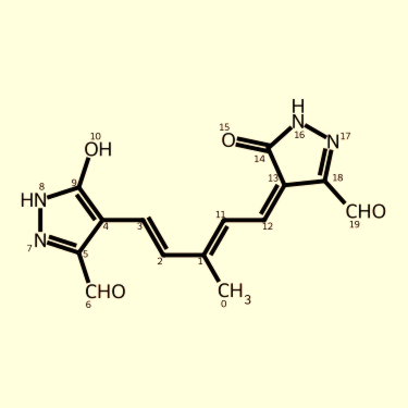 CC(C=Cc1c(C=O)n[nH]c1O)=CC=C1C(=O)NN=C1C=O